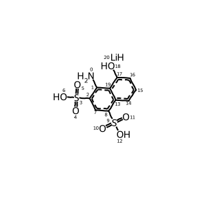 Nc1c(S(=O)(=O)O)cc(S(=O)(=O)O)c2cccc(O)c12.[LiH]